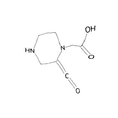 O=C=C1CNCCN1C(=O)O